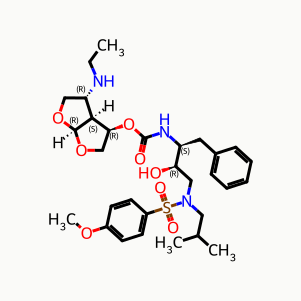 CCN[C@H]1CO[C@@H]2OC[C@H](OC(=O)N[C@@H](Cc3ccccc3)[C@H](O)CN(CC(C)C)S(=O)(=O)c3ccc(OC)cc3)[C@@H]21